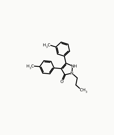 CCCn1[nH]c(-c2cccc(C)c2)c(-c2ccc(C)cc2)c1=O